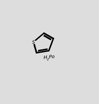 [PoH2].c1ccsc1